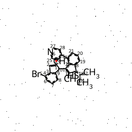 CC1=Cc2c(Br)cccc2C1C1=C(C)C([SiH](C)C)c2cccc(-c3ccncc3)c21